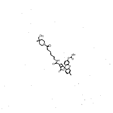 Cc1ccc2c(c1)Oc1cc(OC(=O)C(C)(C)C)ccc1C21OC(=O)c2cc(C(=O)NCCCCCC(=O)N3CCC(C)(CO)CC3)ccc21